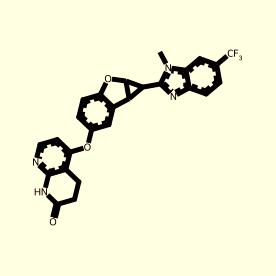 Cn1c(C2C3Oc4ccc(Oc5ccnc6c5CCC(=O)N6)cc4C32)nc2ccc(C(F)(F)F)cc21